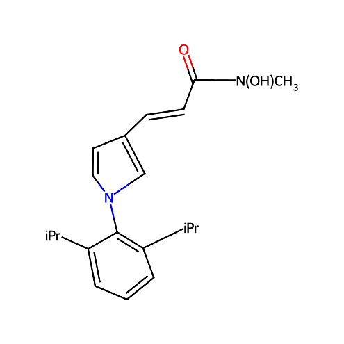 CC(C)c1cccc(C(C)C)c1-n1ccc(C=CC(=O)N(C)O)c1